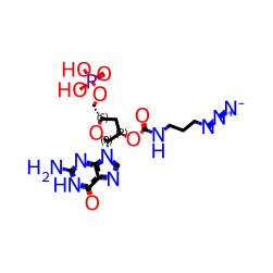 [N-]=[N+]=NCCCNC(=O)O[C@@H]1C[C@@H](COP(=O)(O)O)O[C@H]1n1cnc2c(=O)[nH]c(N)nc21